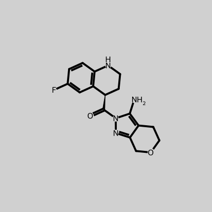 Nc1c2c(nn1C(=O)[C@@H]1CCNc3ccc(F)cc31)COCC2